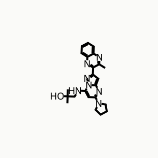 Cc1nc2ccccc2nc1-c1cc2nc(N3CCCC3)cc(NCC(C)(C)O)n2n1